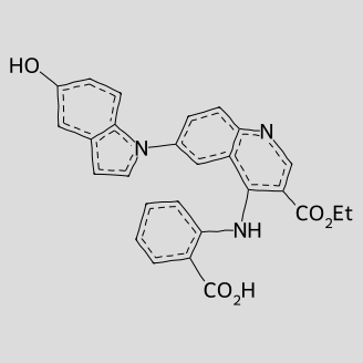 CCOC(=O)c1cnc2ccc(-n3ccc4cc(O)ccc43)cc2c1Nc1ccccc1C(=O)O